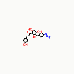 [N-]=[N+]=Nc1ccc(Cc2c(O)cc(O)c(C(=O)CCc3ccc(O)cc3)c2O)cc1